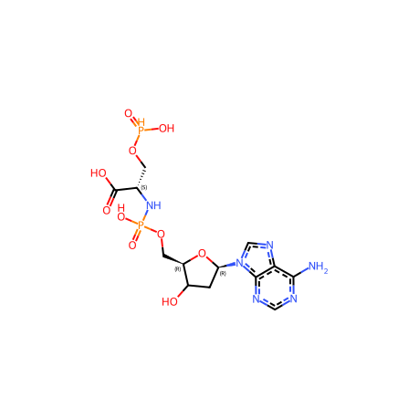 Nc1ncnc2c1ncn2[C@H]1CC(O)[C@@H](COP(=O)(O)N[C@@H](CO[PH](=O)O)C(=O)O)O1